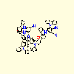 CC1(C)c2cc3c(cc2-c2cc4c5ccccc5n(-c5c(C#N)cc(C#N)cc5-n5c6ccccc6c6ccccc65)c4cc21)c1ccccc1n3-c1cccc(-c2cccc(-n3c4ccccc4c4c5oc6c(ccc7c6c6ccccc6n7-c6cc(C#N)c(C#N)c(-n7c8ccccc8c8ccccc87)c6)c5ccc43)c2)c1